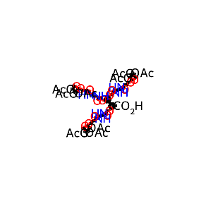 CC(=O)OC1C(C)OC(OCCCC(=O)NCCNC(=O)COc2cc(OCC(=O)NCCNC(=O)CCCOC3OC(C)C(OC(C)=O)C(OC(C)=O)C3OC(C)=O)cc(-c3cc(OCC(=O)NCCNC(=O)CCCOC4OC(C)C(OC(C)=O)C(OC(C)=O)C4OC(C)=O)cc(C(=O)O)c3)c2)C(OC(C)=O)C1OC(C)=O